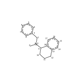 CN(Cc1ccccc1)C1CCCc2ccccc21